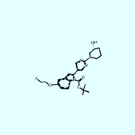 CC(C)(C)OC(=O)n1c(-c2cnc(N3CCC[C@@H](O)C3)nc2)cc2cc(OCCF)ccc21